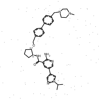 CC(C)n1cc(-c2cnc(N)c(C(=O)N[C@H]3CCC[C@@H]3OCc3ccc(-c4ccc(CN5CCN(C)CC5)cc4)cc3)c2)cn1